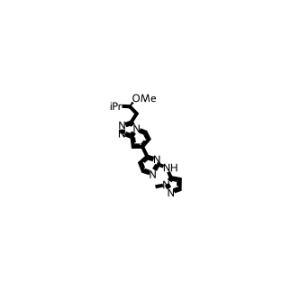 CO[C@@H](Cc1nnc2cc(-c3ccnc(Nc4ccnn4C)n3)ccn12)C(C)C